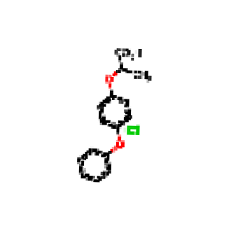 CC(Oc1ccc(Oc2ccccc2)cc1)C(=O)O.Cl